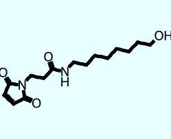 O=C(CCN1C(=O)C=CC1=O)NCCCCCCCCO